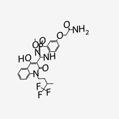 COP1(=O)N=C(c2c(O)c3ccccc3n(CCC(C)C(F)(F)F)c2=O)Nc2ccc(OCC(N)=O)cc21